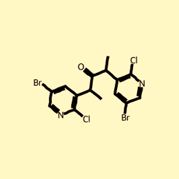 CC(C(=O)C(C)c1cc(Br)cnc1Cl)c1cc(Br)cnc1Cl